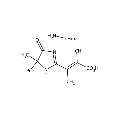 CC(C(=O)O)=C(C)C1=NC(=O)C(C)(C(C)C)N1.CCCCCCN